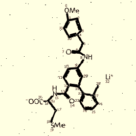 COc1ccc(CC(=O)Nc2ccc(C(=O)N[C@@H](CCSC)C(=O)[O-])c(-c3ccccc3C)c2)cc1.[Li+]